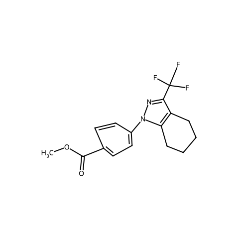 COC(=O)c1ccc(-n2nc(C(F)(F)F)c3c2CCCC3)cc1